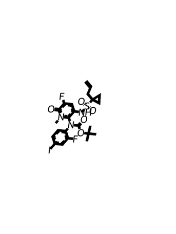 C=CCC1(S(=O)(=O)Nc2cc(F)c(=O)n(C)c2N(C(=O)OC(C)(C)C)c2ccc(I)cc2F)CC1